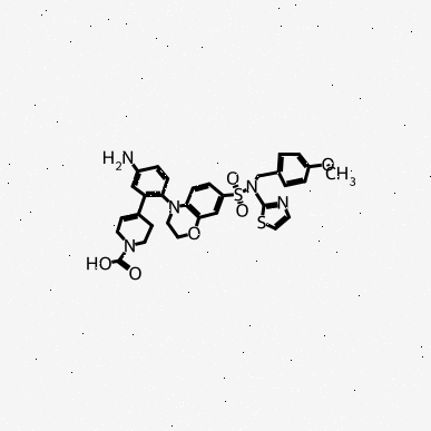 COc1ccc(CN(c2nccs2)S(=O)(=O)c2ccc3c(c2)OCCN3c2ccc(N)cc2C2=CCN(C(=O)O)CC2)cc1